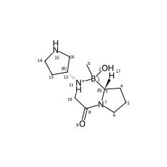 C[B-]1(O)[C@@H]2CCCN2C(=O)C[NH+]1[C@@H]1CCNC1